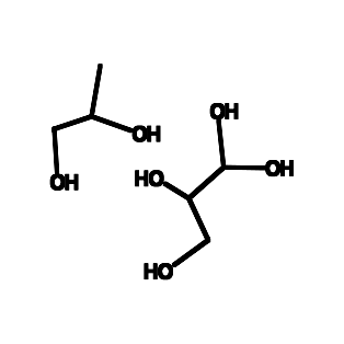 CC(O)CO.OCC(O)C(O)O